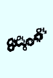 Cc1ccnc(N2CCN(C(=O)CCc3c(C)n4c5c(cccc35)CCC4)CC2)c1